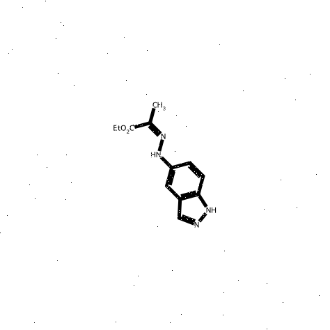 CCOC(=O)/C(C)=N\Nc1ccc2[nH]ncc2c1